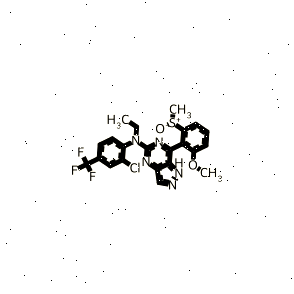 CCN(c1nc(-c2c(OC)cccc2[S+](C)[O-])c2[nH]ncc2n1)c1ccc(C(F)(F)F)cc1Cl